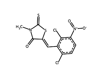 CN1C(=O)C(=Cc2c(Cl)ccc([N+](=O)[O-])c2Cl)SC1=S